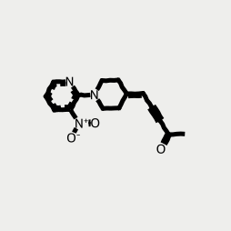 CC(=O)C#CC=C1CCN(c2ncccc2[N+](=O)[O-])CC1